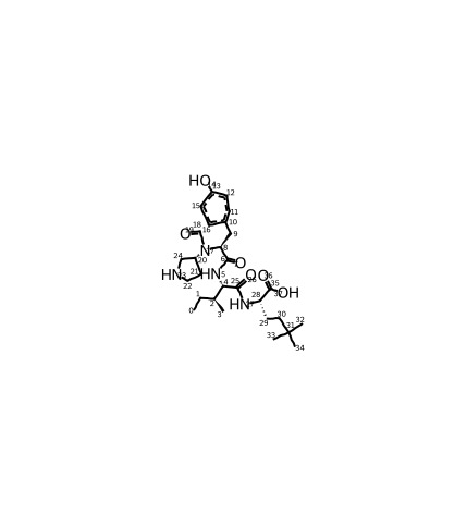 CC[C@H](C)[C@H](NC(=O)[C@H](Cc1ccc(O)cc1)N(C=O)[C@@H]1CCNC1)C(=O)N[C@@H](CCC(C)(C)C)C(=O)O